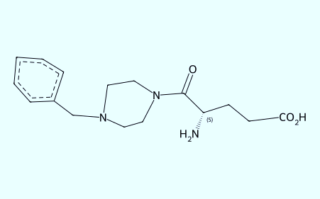 N[C@@H](CCC(=O)O)C(=O)N1CCN(Cc2ccccc2)CC1